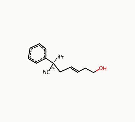 CC(C)[C@@](C#N)(CC=CCCO)c1ccccc1